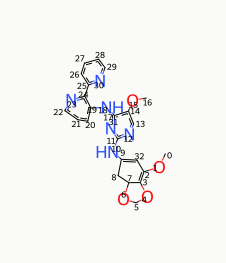 COC1=C2OCOC2CC(Nc2ncc(OC)c(Nc3cccnc3-c3ccccn3)n2)=C1